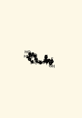 C#Cc1c(F)ccc2cc(O)cc(-c3ncc4c(N5CC6CCC(C5)N6)nc(OC[C@@H]5CC[C@@H](COC(=O)N6CCN(c7cc(C(C(=O)N8C[C@H](O)C[C@H]8C(=O)NC(C)c8ccc(-c9scnc9C)cc8)C(C)C)on7)CC6)N5C)nc4c3F)c12